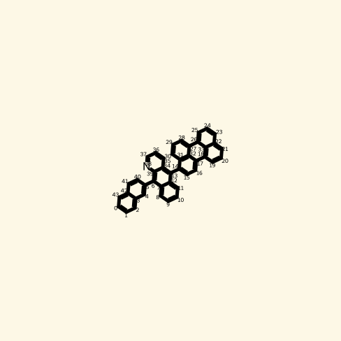 c1ccc2cc(-c3c4ccccc4c(-c4ccc5c6cccc7cccc(c8cccc4c85)c76)c4cccnc34)ccc2c1